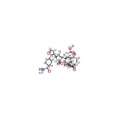 CCNC(=O)c1ccc(-c2occc2[C@@H]2C[C@H]3O[C@@H]4[C@@H]5OC(=O)[C@]6(C)C=CC(=O)[C@](C)([C@@H](CC(=O)OC)[C@]4(C)C3=C2C)[C@@H]56)cc1